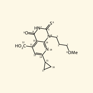 COCCCn1c(=S)[nH]c(=O)c2c(C(=O)O)cc(C3CC3)nc21